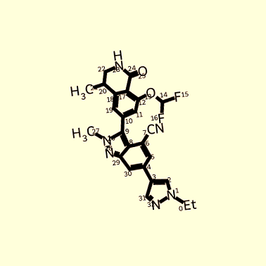 CCn1cc(-c2cc(C#N)c3c(-c4cc(OC(F)F)c5c(c4)C(C)CNC5=O)n(C)nc3c2)cn1